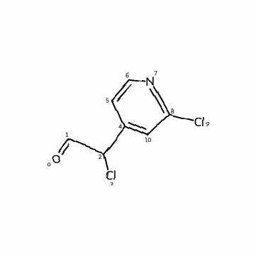 O=CC(Cl)c1ccnc(Cl)c1